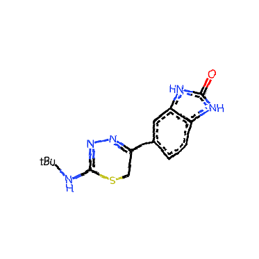 CC(C)(C)NC1=NN=C(c2ccc3[nH]c(=O)[nH]c3c2)CS1